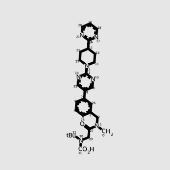 CN(Cc1cccc(-c2cnc(N3CCC(c4ncccn4)CC3)nc2)c1)C(=O)CN(C(=O)O)C(C)(C)C